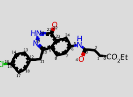 CCOC(=O)CCC(=O)Nc1ccc2c(Cc3ccc(Cl)cc3)n[nH]c(=O)c2c1